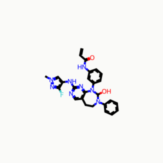 C=CC(=O)Nc1cccc(N2c3nc(Nc4cn(C)nc4F)ncc3CCN(c3ccccc3)C2O)c1